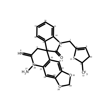 N=C1CC2(C(=O)N(CC3=CCC(C(F)(F)F)S3)c3ccccc32)c2cc3c(cc2N1N)OCO3